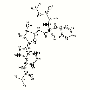 CC(C)OC(=O)[C@H](C)N[P@@](=O)(OC[C@H]1O[C@@H](n2cnc3c(NC(=O)C(C)C)ncnc32)[C@@H](C)[C@@H]1O)Oc1ccccc1